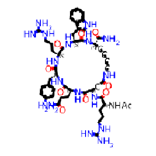 CC(=O)N[C@H](CCCNC(=N)N)C(=O)N[C@H]1CC(=O)NCCCC[C@@H](C(N)=O)NC(=O)[C@H](Cc2c[nH]c3ccccc23)NC(=O)[C@H](CCCNC(=N)N)NC(=O)[C@@H](Cc2ccc(N)cc2)NC(=O)[C@H](CCC(N)=O)NC1=O